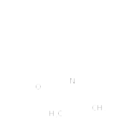 CC(C)N1CCC2CCCCC2C1=O